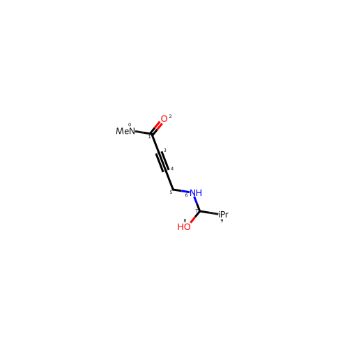 CNC(=O)C#CCNC(O)C(C)C